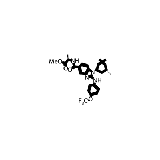 COC(=O)[C@@H](C)NC(=O)c1ccc2c(c1)nc(Nc1ccc(OC(F)(F)F)cc1)n2[C@H]1C[C@@H](C)CC(C)(C)C1